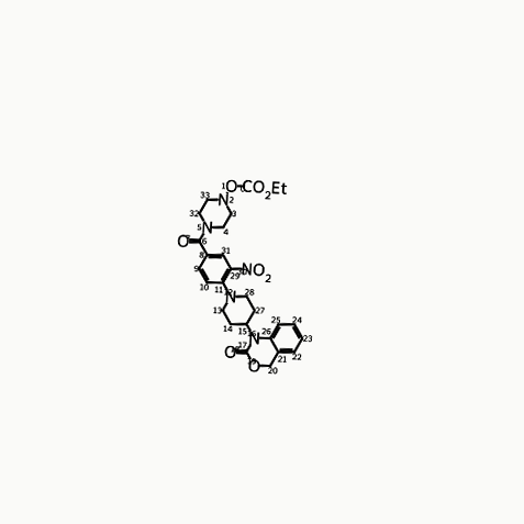 CCOC(=O)ON1CCN(C(=O)c2ccc(N3CCC(N4C(=O)OCc5ccccc54)CC3)c([N+](=O)[O-])c2)CC1